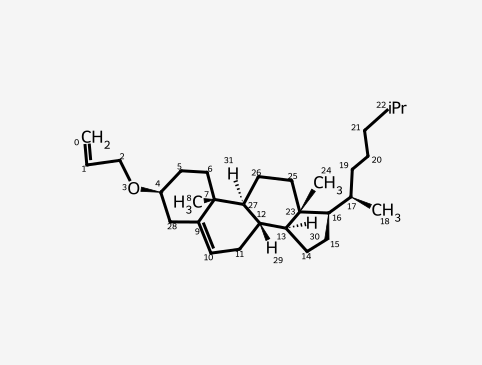 C=CCO[C@H]1CC[C@@]2(C)C(=CC[C@H]3[C@@H]4CC[C@H]([C@H](C)CCCC(C)C)[C@@]4(C)CC[C@@H]32)C1